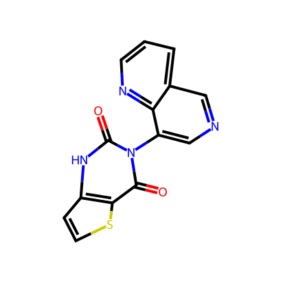 O=c1[nH]c2ccsc2c(=O)n1-c1cncc2cccnc12